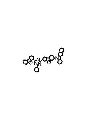 c1ccc(-c2nc(-c3ccc4c(c3)oc3cc(-n5c6ccccc6c6cc7ccccc7cc65)ccc34)nc(-c3cccc4c3oc3ccccc34)n2)cc1